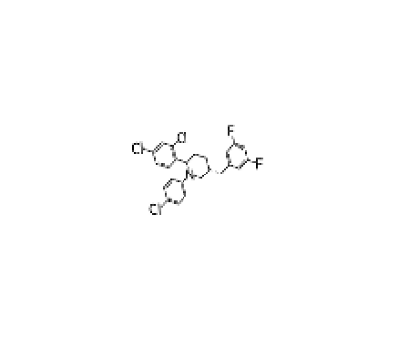 Fc1cc(F)cc(C[C@H]2CCC(c3ccc(Cl)cc3Cl)N(c3ccc(Cl)cc3)C2)c1